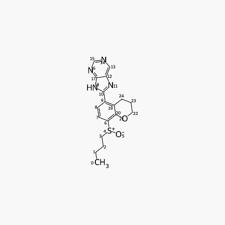 CCCC[S+]([O-])c1ccc(-c2nc3cncnc3[nH]2)c2c1OCCC2